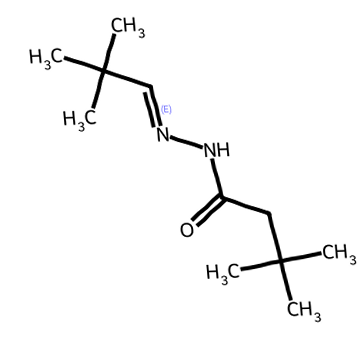 CC(C)(C)/C=N/NC(=O)CC(C)(C)C